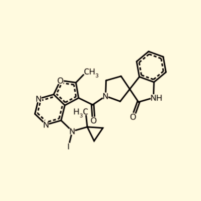 Cc1oc2ncnc(N(I)C3(C)CC3)c2c1C(=O)N1CCC2(C1)C(=O)Nc1ccccc12